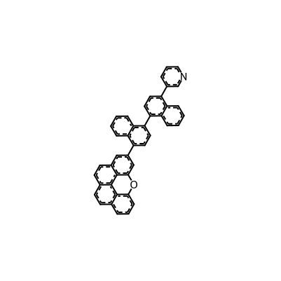 c1cncc(-c2ccc(-c3ccc(-c4cc5c6c(ccc7ccc8cccc(c8c76)O5)c4)c4ccccc34)c3ccccc23)c1